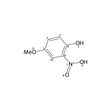 COc1ccc(O)c([N+](=O)O)c1